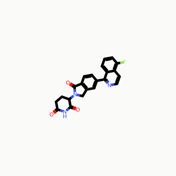 O=C1CCC(N2Cc3cc(-c4nccc5c(F)cccc45)ccc3C2=O)C(=O)N1